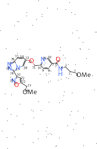 COCCCNC(=O)c1ccc(COc2ccc3nnc(-c4cc(COC)on4)n3c2)nc1